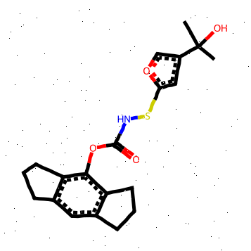 CC(C)(O)c1coc(SNC(=O)Oc2c3c(cc4c2CCC4)CCC3)c1